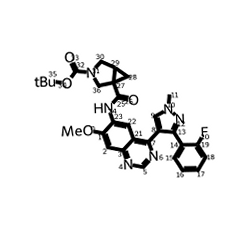 COc1cc2ncnc(-c3cn(C)nc3-c3ccccc3F)c2cc1NC(=O)C12CC1CN(C(=O)OC(C)(C)C)C2